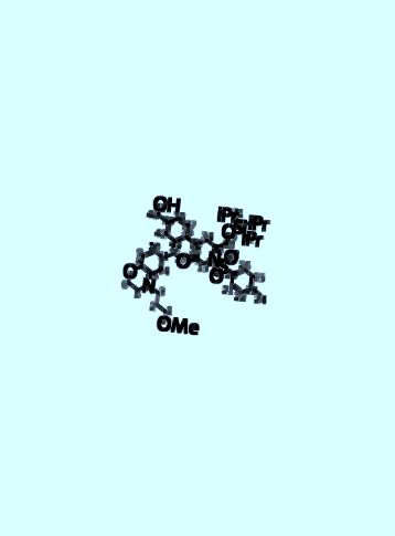 COCCCN1CCOc2ccc(CO[C@H]3CN(S(=O)(=O)c4ccc(C)cc4)[C@H](CO[Si](C(C)C)(C(C)C)C(C)C)C[C@@H]3c3ccc(CO)cc3)cc21